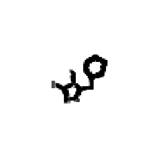 FC1=NN=C(Cc2ccccc2)S1=S